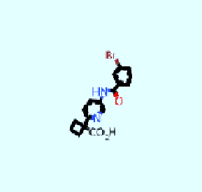 O=C(Nc1ccc(C2(C(=O)O)CCC2)nc1)c1cccc(Br)c1